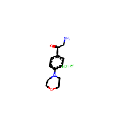 Cl.Cl.NCC(=O)c1ccc(N2CCOCC2)cc1